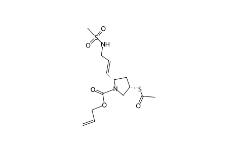 C=CCOC(=O)N1C[C@@H](SC(C)=O)C[C@H]1C=CCNS(C)(=O)=O